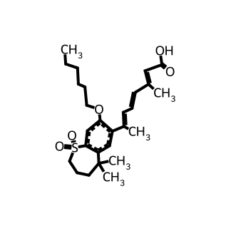 CCCCCCOc1cc2c(cc1/C(C)=C/C=C/C(C)=C/C(=O)O)C(C)(C)CCCS2(=O)=O